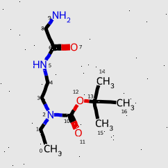 CCN(CCNC(=O)CN)C(=O)OC(C)(C)C